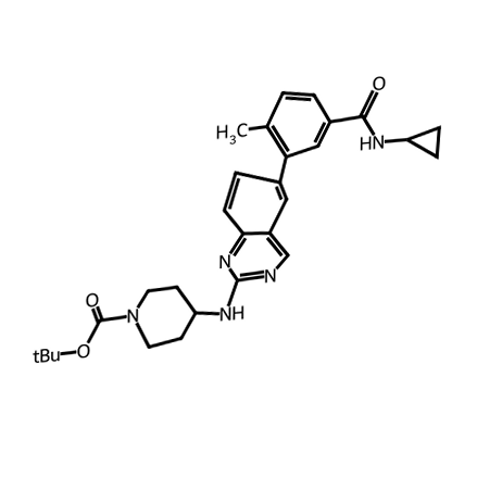 Cc1ccc(C(=O)NC2CC2)cc1-c1ccc2nc(NC3CCN(C(=O)OC(C)(C)C)CC3)ncc2c1